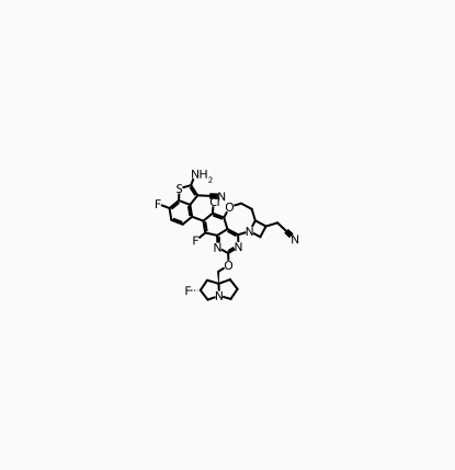 N#CCC1CN2c3nc(OC[C@@]45CCCN4C[C@H](F)C5)nc4c(F)c(-c5ccc(F)c6sc(N)c(C#N)c56)c(Cl)c(c34)OCCC12